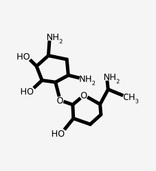 CC(N)C1CCC(O)C(OC2C(N)CC(N)C(O)C2O)O1